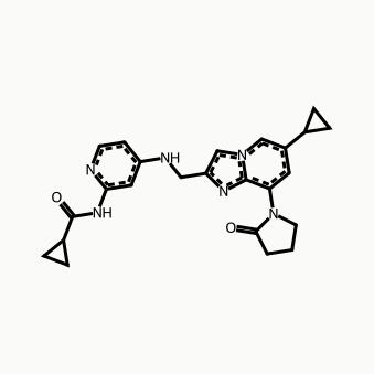 O=C(Nc1cc(NCc2cn3cc(C4CC4)cc(N4CCCC4=O)c3n2)ccn1)C1CC1